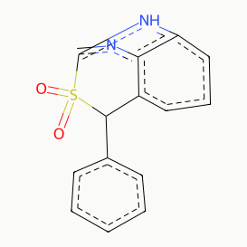 O=S1(=O)c2nc3c(cccc3[nH]2)C1c1ccccc1